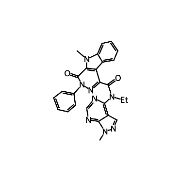 CCN(C(=O)c1nn(-c2ccccc2)c(=O)c2c1c1ccccc1n2C)c1ncnc2c1cnn2C